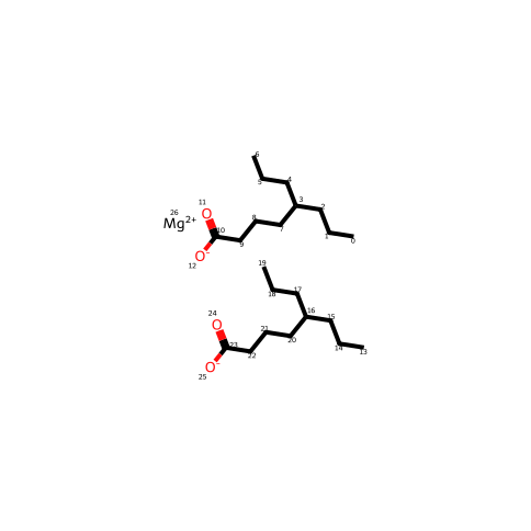 CCCC(CCC)CCCC(=O)[O-].CCCC(CCC)CCCC(=O)[O-].[Mg+2]